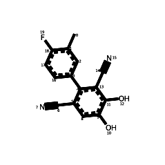 Cc1cc(-c2c(C#N)cc(O)c(O)c2C#N)ccc1F